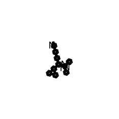 Cc1ccc(-c2ccc(-c3ccc(-c4cc(-c5ccc6c7ccccc7c7ccccc7c6c5)cc(-c5nc(-c6ccccc6)nc(-c6ccccc6)n5)c4)cc3)cc2)cn1